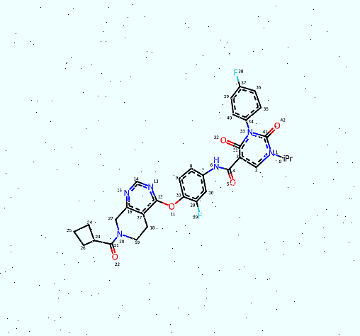 CC(C)n1cc(C(=O)Nc2ccc(Oc3ncnc4c3CCN(C(=O)C3CCC3)C4)c(F)c2)c(=O)n(-c2ccc(F)cc2)c1=O